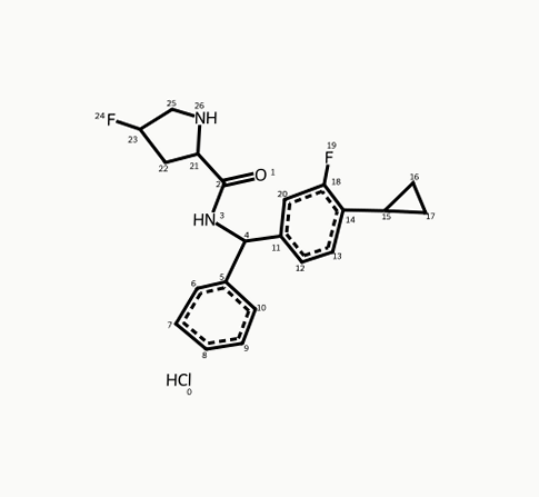 Cl.O=C(NC(c1ccccc1)c1ccc(C2CC2)c(F)c1)C1CC(F)CN1